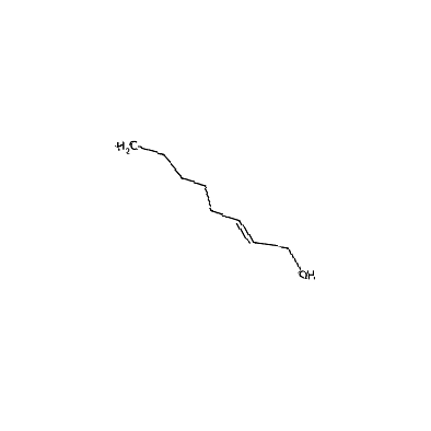 [CH2]CCCCC=CCO